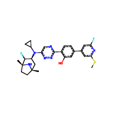 CSc1cc(-c2ccc(-c3ncc(N(C4CC4)[C@H]4C[C@]5(C)CC[C@@](C)(N5)[C@H]4F)nn3)c(O)c2)cc(F)n1